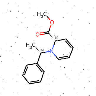 COC(=O)[C@@H]1C=CC=CN1[C@@H](C)c1ccccc1